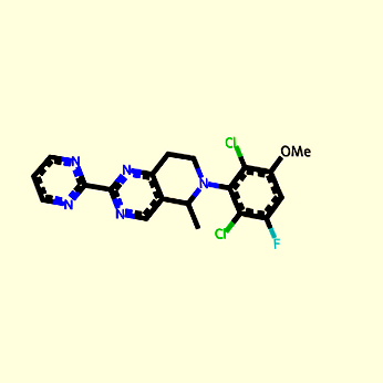 COc1cc(F)c(Cl)c(N2CCc3nc(-c4ncccn4)ncc3C2C)c1Cl